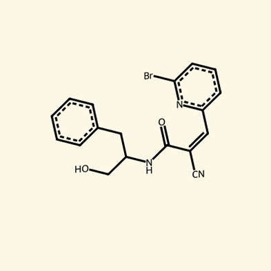 N#CC(=Cc1cccc(Br)n1)C(=O)NC(CO)Cc1ccccc1